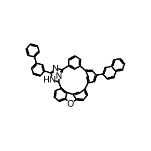 c1ccc(-c2cccc(C3=NC4=NC(N3)c3cccc5oc6ccc(cc6c35)-c3cc(cc(-c5ccc6ccccc6c5)c3)-c3cccc4c3)c2)cc1